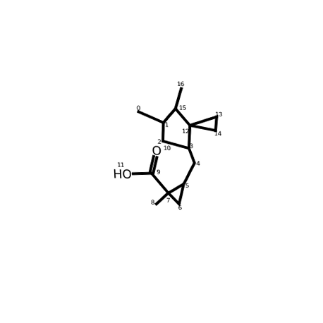 CC1CC(CC2CC2(C)C(=O)O)C2(CC2)C1C